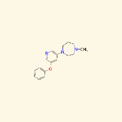 CN1CCCN(c2cncc(Oc3ccccc3)c2)CC1